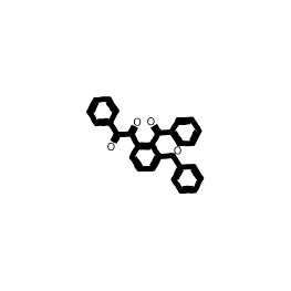 O=C(C(=O)c1cccc(C(=O)c2ccccc2)c1C(=O)c1ccccc1)c1ccccc1